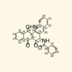 O=C(NC1C(=O)C2=C(C(=O)c3ccccc3C2=O)C2=C1C=C1C=CC=CC1N2)c1ccccc1